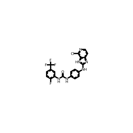 O=C(Nc1ccc(Nc2nc3ccnc(Cl)c3[nH]2)cc1)Nc1cc(C(F)(F)F)ccc1F